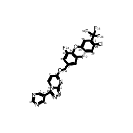 Fc1cc(COc2ccn3c(-c4cncnc4)nnc3n2)cc(F)c1Oc1ccc(Cl)c(C(F)(F)F)c1